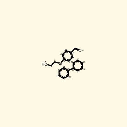 O=Cc1ccc(SCCO)cc1.c1ccc(-c2ccccc2)cc1